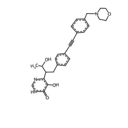 CC(O)C(Cc1ccc(C#Cc2ccc(CN3CCOCC3)cc2)cc1)c1nc[nH]c(=O)c1O